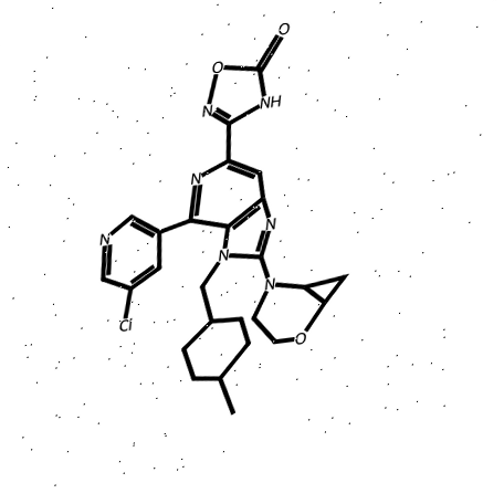 CC1CCC(Cn2c(N3CCOC4CC43)nc3cc(-c4noc(=O)[nH]4)nc(-c4cncc(Cl)c4)c32)CC1